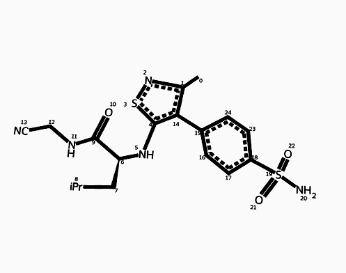 Cc1nsc(N[C@@H](CC(C)C)C(=O)NCC#N)c1-c1ccc(S(N)(=O)=O)cc1